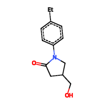 CCc1ccc(N2CC(CO)CC2=O)cc1